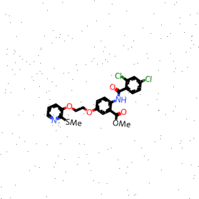 COC(=O)c1cc(OCCOc2cccnc2SC)ccc1NC(=O)c1ccc(Cl)cc1Cl